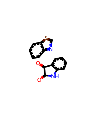 O=C1Nc2ccccc2C1=O.c1ccc2scnc2c1